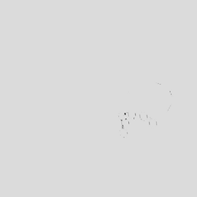 CCCCCCCC/C=C\C/C=C\C/C=C\CCCC(=O)OC[C@H](COC(=O)CCCCCCCCCCCCCC)OC(=O)CCCCCCCCCCCCCCCCC